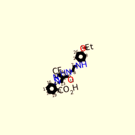 CCOc1ccc(NCCNC(=O)c2cn(-c3ccccc3C(=O)O)nc2C(F)(F)F)cc1